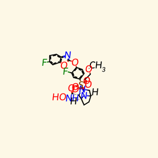 COCCOC(=O)N1[C@@H]2CC[C@H]1[C@H](C(=O)NO)N(S(=O)(=O)c1ccc(Oc3nc4ccc(F)cc4o3)c(F)c1)C2